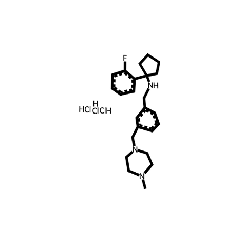 CN1CCN(Cc2cccc(CNC3(c4ccccc4F)CCCC3)c2)CC1.Cl.Cl.Cl